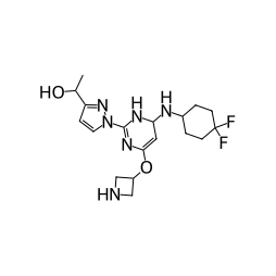 CC(O)c1ccn(C2=NC(OC3CNC3)=CC(NC3CCC(F)(F)CC3)N2)n1